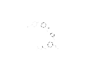 CCCCN1CCC(Oc2ccc(C(=O)Nc3ncc(Oc4ccc(NC(=O)NC(CC)CC)cc4COCC)s3)cc2)CC1